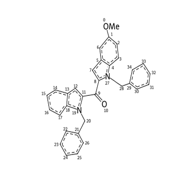 COc1ccc2c(c1)cc(C(=O)c1cc3ccccc3n1Cc1ccccc1)n2Cc1ccccc1